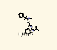 C=C(C)/C=C(\N=C(/C)CO/C(=C\C)C(C)(C)c1ccccc1)n1ccc(N)nc1=O